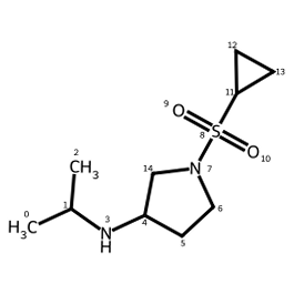 CC(C)NC1CCN(S(=O)(=O)C2CC2)C1